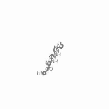 Cc1cccc(-c2nccc(Nc3ccnc(Nc4cncc(C(=O)OC[C@@H]5CCNC5)c4)n3)n2)n1